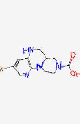 O=C(O)N1CCN2c3ncc(Br)cc3NCC2C1